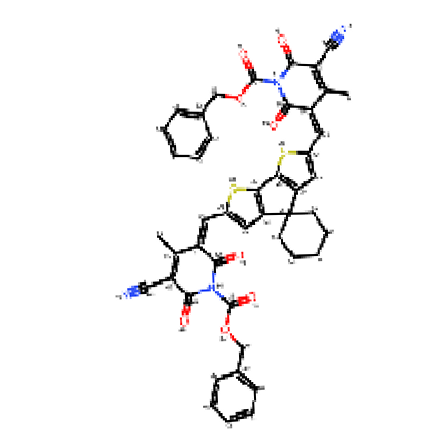 CC1=C(C#N)C(=O)N(C(=O)OCc2ccccc2)C(=O)/C1=C\c1cc2c(s1)-c1sc(/C=C3\C(=O)N(C(=O)OCc4ccccc4)C(=O)C(C#N)=C3C)cc1C21CCCCC1